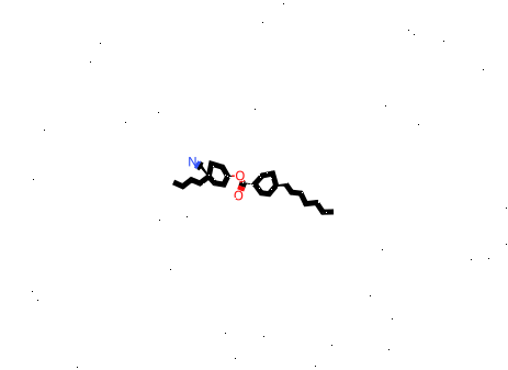 CCCCCCC[C@H]1CC[C@H](C(=O)O[C@H]2CC[C@@](C#N)(CCCC)CC2)CC1